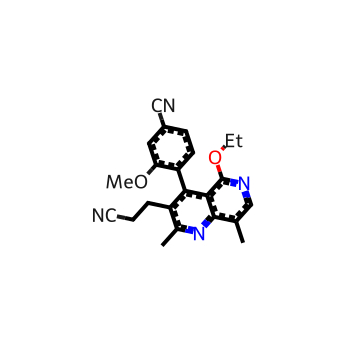 CCOc1ncc(C)c2nc(C)c(CCC#N)c(-c3ccc(C#N)cc3OC)c12